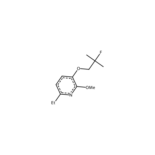 CCc1ccc(OCC(C)(C)F)c(OC)n1